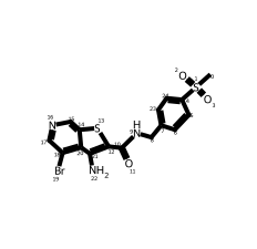 CS(=O)(=O)c1ccc(CNC(=O)c2sc3cncc(Br)c3c2N)cc1